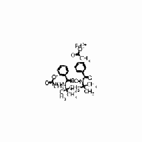 CC(=O)[O-].CC(=O)[O-].CC(C)(C)N(O)C(=O)c1ccccc1.CC(C)(C)N(O)C(=O)c1ccccc1.[Pd+2]